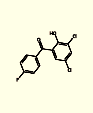 O=C(c1ccc(F)cc1)c1cc(Cl)cc(Cl)c1O